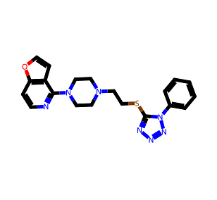 c1ccc(-n2nnnc2SCCN2CCN(c3nccc4occc34)CC2)cc1